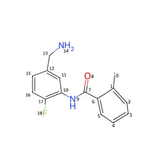 [CH2]c1ccccc1C(=O)Nc1cc(CN)ccc1F